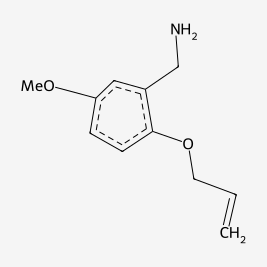 C=CCOc1ccc(OC)cc1CN